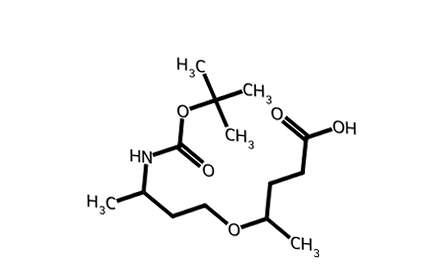 CC(CCOC(C)CCC(=O)O)NC(=O)OC(C)(C)C